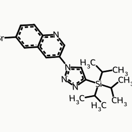 CC(C)[Si](c1cn(-c2cnc3ccc(Br)cc3c2)nn1)(C(C)C)C(C)C